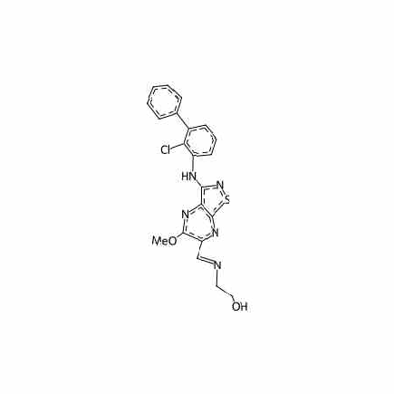 COc1nc2c(Nc3cccc(-c4ccccc4)c3Cl)nsc2nc1C=NCCO